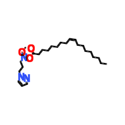 CCCCCCCC/C=C\CCCCCCCC(=O)ON(CCCn1cccn1)OC